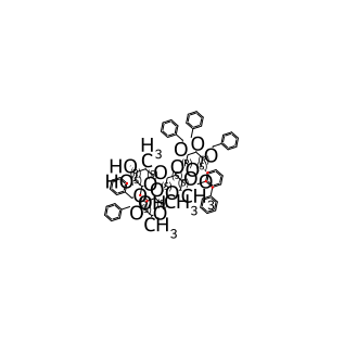 CC1[C@H](OC2[C@H](OC3[C@H](C)OC(C)[C@H](OCc4ccccc4)[C@@H]3OCc3ccccc3)OC(C)[C@H](OCc3ccccc3)[C@@H]2O[C@H]2O[C@@H](COCc3ccccc3)[C@@H](OCc3ccccc3)C(OCc3ccccc3)C2OCc2ccccc2)OC(CO)[C@@H](O)[C@@H]1O